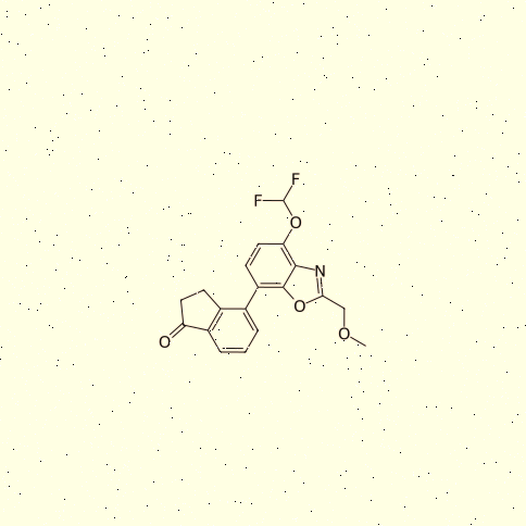 COCc1nc2c(OC(F)F)ccc(-c3cccc4c3CCC4=O)c2o1